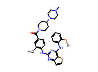 COc1cc(C(=O)N2CCC(N3CCN(C)CC3)CC2)ccc1Nc1nc(Nc2ccccc2SC(C)C)c2sccc2n1